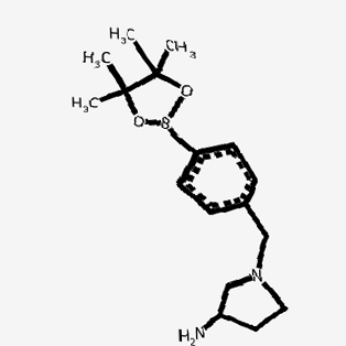 CC1(C)OB(c2ccc(CN3CCC(N)C3)cc2)OC1(C)C